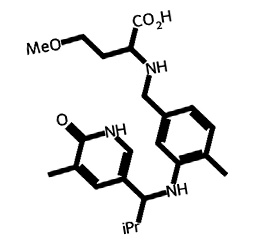 COCCC(NCc1ccc(C)c(NC(c2c[nH]c(=O)c(C)c2)C(C)C)c1)C(=O)O